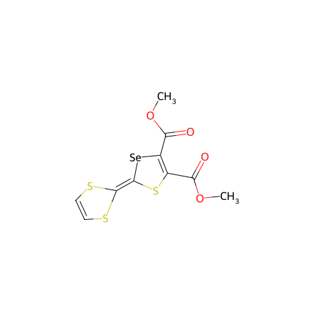 COC(=O)C1=C(C(=O)OC)[Se]C(=C2SC=CS2)S1